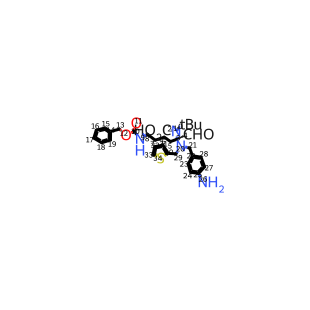 CC(C)(C)N(C(=O)O)[C@@](C=O)(CCCCNC(=O)OCc1ccccc1)N(Cc1ccc(N)cc1)Cc1cccs1